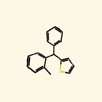 Cc1ccccc1C(c1ccccc1)c1cccs1